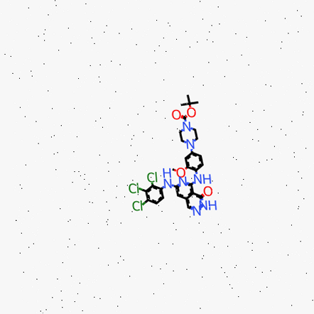 COc1cc(N2CCN(C(=O)OC(C)(C)C)CC2)ccc1Nc1nc(Nc2ccc(Cl)c(Cl)c2Cl)cc2cn[nH]c(=O)c12